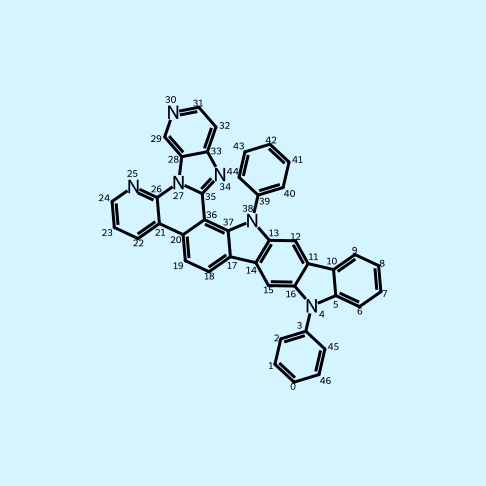 c1ccc(-n2c3ccccc3c3cc4c(cc32)c2ccc3c5cccnc5n5c6cnccc6nc5c3c2n4-c2ccccc2)cc1